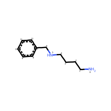 NCCCCNCc1ccccc1